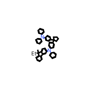 CCC1(C)c2ccccc2-c2cc(N(c3ccccc3)c3ccc(C4(c5ccc(N(c6ccccc6)c6ccccc6)cc5)CCCC4)cc3)ccc21